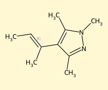 C/C=C(\C)c1c(C)nn(C)c1C